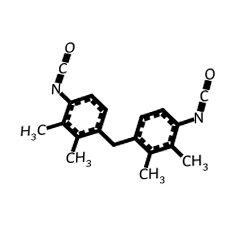 Cc1c(Cc2ccc(N=C=O)c(C)c2C)ccc(N=C=O)c1C